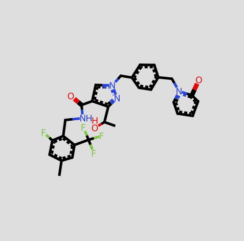 Cc1cc(F)c(CNC(=O)c2cn(Cc3ccc(Cn4ccccc4=O)cc3)nc2C(C)O)c(C(F)(F)F)c1